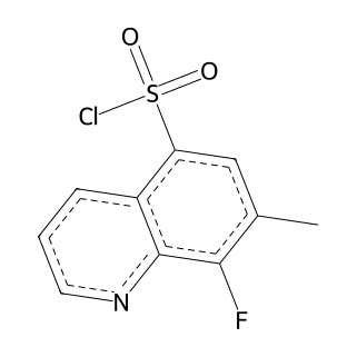 Cc1cc(S(=O)(=O)Cl)c2cccnc2c1F